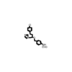 O=CNc1ccc(COC(CCc2ccc(Cl)cc2)Cn2ccnc2)cc1